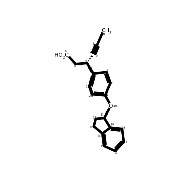 CC#C[C@@H](CC(=O)O)c1ccc(OC2CCc3ccccc32)cc1